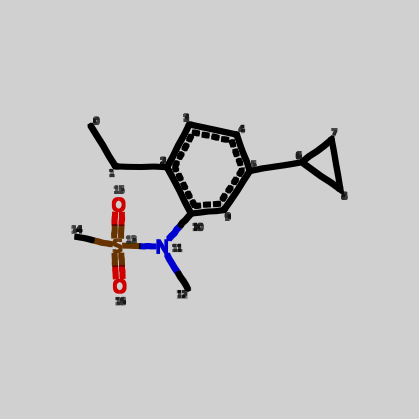 CCc1ccc(C2CC2)cc1N(C)S(C)(=O)=O